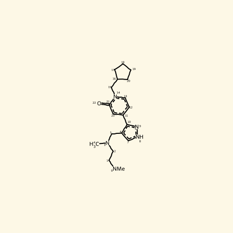 CNCCN(C)Cc1c[nH]nc1-c1ccn(CC2CCCC2)c(=O)c1